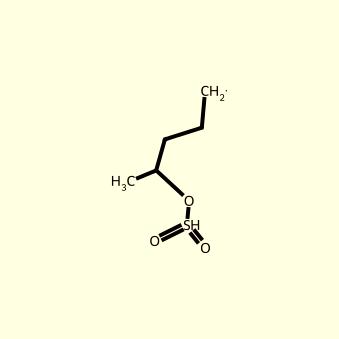 [CH2]CCC(C)O[SH](=O)=O